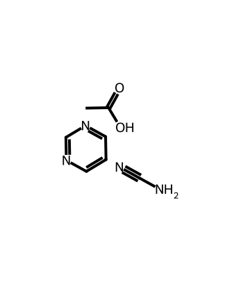 CC(=O)O.N#CN.c1cncnc1